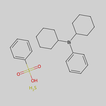 O=S(=O)(O)c1ccccc1.S.c1cc[c]([Bi]([CH]2CCCCC2)[CH]2CCCCC2)cc1